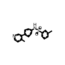 Cc1cccc(S(=O)(=O)Nc2ccc(-c3cnccc3C)cc2)c1